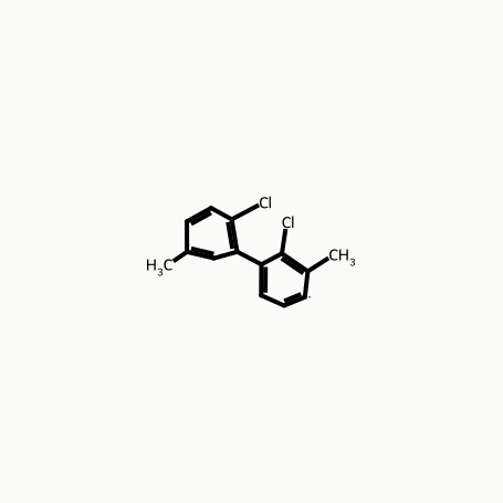 Cc1ccc(Cl)c(-c2cc[c]c(C)c2Cl)c1